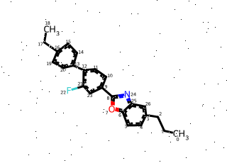 CCCc1ccc2oc(-c3ccc(-c4ccc(CC)cc4)c(F)c3)nc2c1